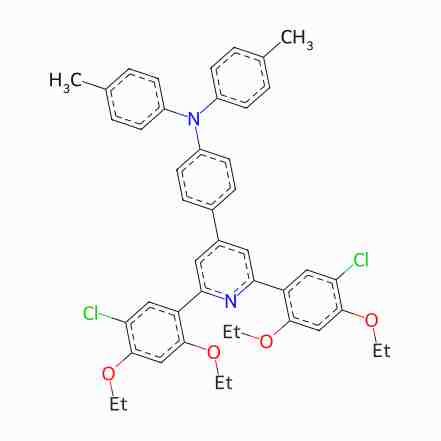 CCOc1cc(OCC)c(-c2cc(-c3ccc(N(c4ccc(C)cc4)c4ccc(C)cc4)cc3)cc(-c3cc(Cl)c(OCC)cc3OCC)n2)cc1Cl